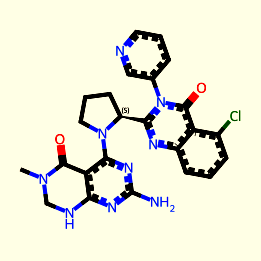 CN1CNc2nc(N)nc(N3CCC[C@H]3c3nc4cccc(Cl)c4c(=O)n3-c3cccnc3)c2C1=O